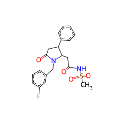 CS(=O)(=O)NC(=O)CC1C(c2ccccc2)CC(=O)N1Cc1cccc(F)c1